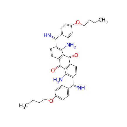 CCCCOc1ccc(C(=N)c2ccc3c(c2N)C(=O)c2ccc(C(=N)c4ccc(OCCCC)cc4)c(N)c2C3=O)cc1